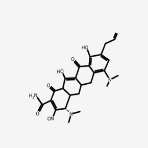 C=CCc1cc(N(C)C)c2c(c1O)C(=O)C1=C(O)C3C(=O)C(C(N)=O)=C(N=O)[C@@H](N(C)C)C3CC1C2